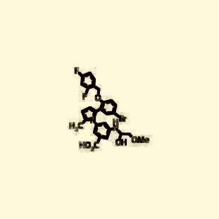 COCC(O)Nc1cc(C(=O)O)cc(-n2c(C)ccc2-c2cc(Br)ccc2OCc2ccc(F)cc2F)c1